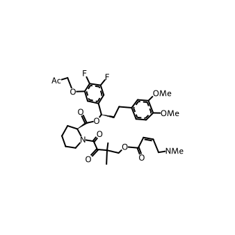 CNC/C=C\C(=O)OCC(C)(C)C(=O)C(=O)N1CCCC[C@H]1C(=O)O[C@H](CCc1ccc(OC)c(OC)c1)c1cc(F)c(F)c(OCC(C)=O)c1